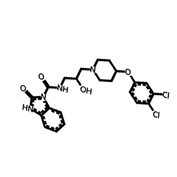 O=C(NCC(O)CN1CCC(Oc2ccc(Cl)c(Cl)c2)CC1)n1c(=O)[nH]c2ccccc21